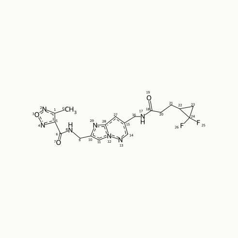 Cc1nonc1C(=O)NCc1cn2ncc(CNC(=O)CCC3CC3(F)F)cc2n1